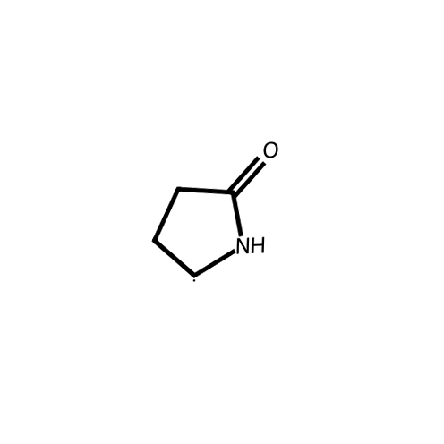 O=C1CC[CH]N1